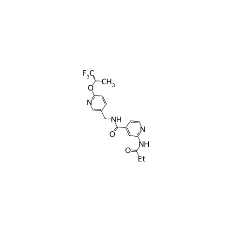 CCC(=O)Nc1cc(C(=O)NCc2ccc(O[C@H](C)C(F)(F)F)nc2)ccn1